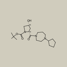 CC(C)(C)OC(=O)N1C[C@H](O)C[C@@H]1C(=O)N1CCCN(C2CCCC2)CC1